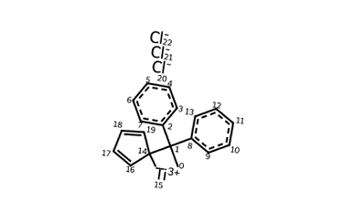 CC(c1ccccc1)(c1ccccc1)[C]1([Ti+3])C=CC=C1.[Cl-].[Cl-].[Cl-]